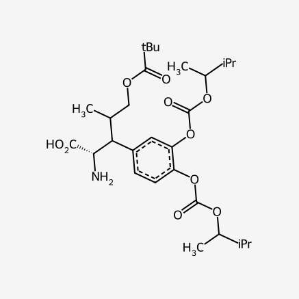 CC(C)C(C)OC(=O)Oc1ccc(C(C(C)COC(=O)C(C)(C)C)[C@H](N)C(=O)O)cc1OC(=O)OC(C)C(C)C